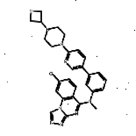 CN(c1cccc(-c2ccc(N3CCN(C4COC4)CC3)nc2)c1)c1nc2nncn2c2cc(Cl)ccc12